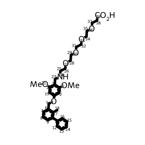 COc1cc(OCc2cccc(-c3ccccc3)c2C)cc(OC)c1CNCCOCCOCCOCCOCCC(=O)O